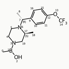 CB(O)N1CCN([C@H](C)c2ccc(OC(F)(F)F)cc2)[C@@H](C)C1